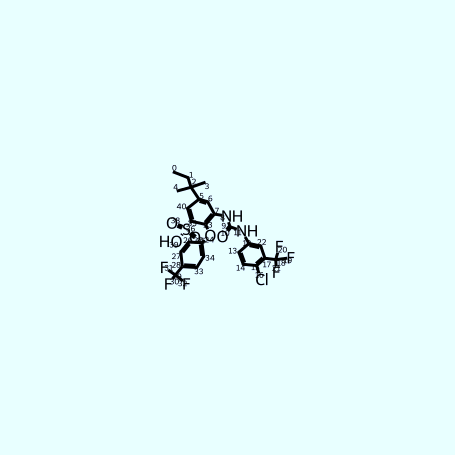 CCC(C)(C)c1cc(NC(=O)Nc2ccc(Cl)c(C(F)(F)F)c2)c(Oc2ccc(C(F)(F)F)cc2)c(S(=O)(=O)O)c1